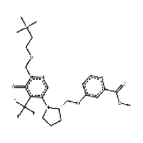 COC(=O)c1cc(OC[C@@H]2CCCN2c2cnn(COCC[Si](C)(C)C)c(=O)c2C(F)(F)F)ccn1